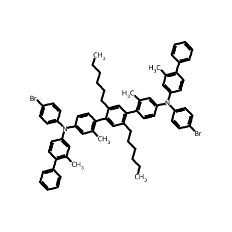 CCCCCCc1cc(-c2ccc(N(c3ccc(Br)cc3)c3ccc(-c4ccccc4)c(C)c3)cc2C)c(CCCCCC)cc1-c1ccc(N(c2ccc(Br)cc2)c2ccc(-c3ccccc3)c(C)c2)cc1C